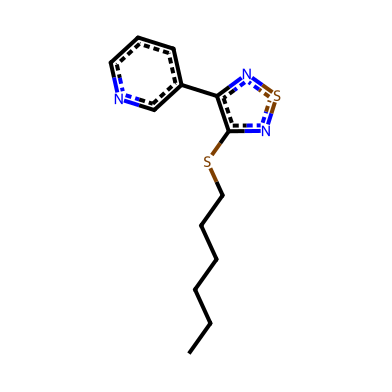 CCCCCCSc1nsnc1-c1cccnc1